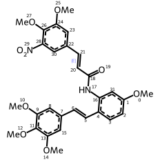 COc1ccc(C=Cc2cc(OC)c(OC)c(OC)c2)c(NC(=O)/C=C/c2cc(OC)c(OC)c([N+](=O)[O-])c2)c1